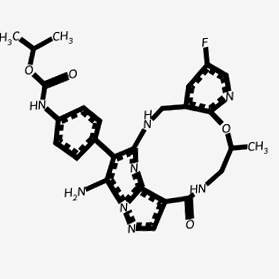 CC(C)OC(=O)Nc1ccc(-c2c3nc4c(cnn4c2N)C(=O)NCC(C)Oc2ncc(F)cc2CN3)cc1